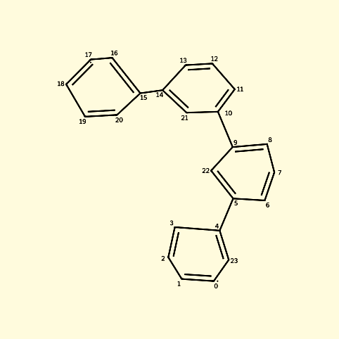 [c]1cccc(-c2cccc(-c3cccc(-c4c[c]ccc4)c3)c2)c1